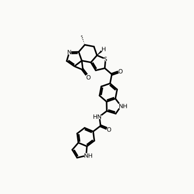 C[C@@H]1C[C@@H]2SC(C(=O)c3ccc4c(NC(=O)c5ccc6cc[nH]c6c5)c[nH]c4c3)C=C2C23C(=O)C2=CN=C13